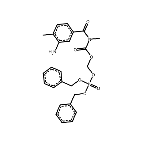 Cc1ccc(C(=O)N(C)C(=O)OCOP(=O)(OCc2ccccc2)OCc2ccccc2)cc1N